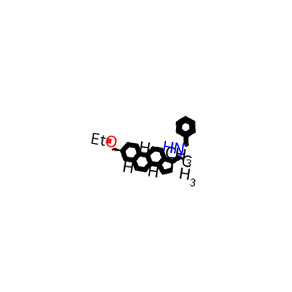 CCOC[C@H]1CC[C@@H]2C3CC[C@@]4(C)C(CC[C@@H]4[C@H](C)NCc4ccccc4)[C@@H]3CC[C@@H]2C1